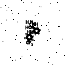 NNC(O)c1ccccc1Nc1ccc(C(F)(F)F)cc1